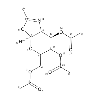 CC(=O)OCC1O[C@H]2OC(C)=NC2[C@@H](OC(C)=O)C1OC(C)=O